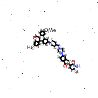 COc1ccc([C@H]2COc3cc(O)ccc3[C@H]2c2ccc(N3CCC(CN4CCN(c5cc6c(cc5F)C(=O)N([C@H]5CCC(=O)NC5=O)C6)CC4)CC3)cc2)cc1